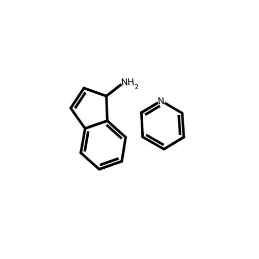 NC1C=Cc2ccccc21.c1ccncc1